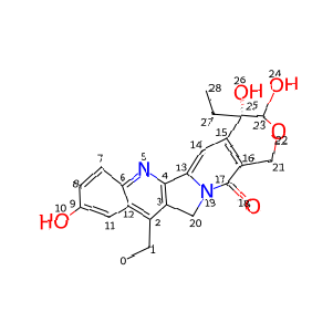 CCc1c2c(nc3ccc(O)cc13)-c1cc3c(c(=O)n1C2)COC(O)[C@]3(O)CC